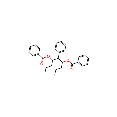 CCCC(OC(=O)c1ccccc1)C(c1ccccc1)C(CCC)OC(=O)c1ccccc1